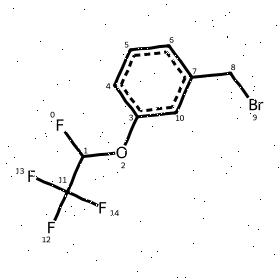 FC(Oc1cccc(CBr)c1)C(F)(F)F